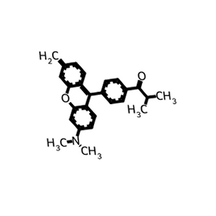 C=c1ccc2c(c1)Oc1cc(N(C)C)ccc1C=2c1ccc(C(=O)C(C)C)cc1